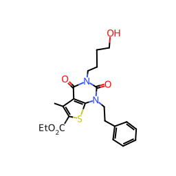 CCOC(=O)c1sc2c(c1C)c(=O)n(CCCCO)c(=O)n2CCc1ccccc1